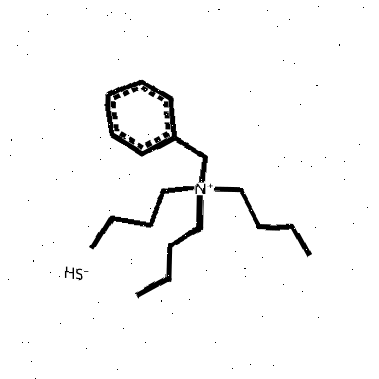 CCCC[N+](CCCC)(CCCC)Cc1ccccc1.[SH-]